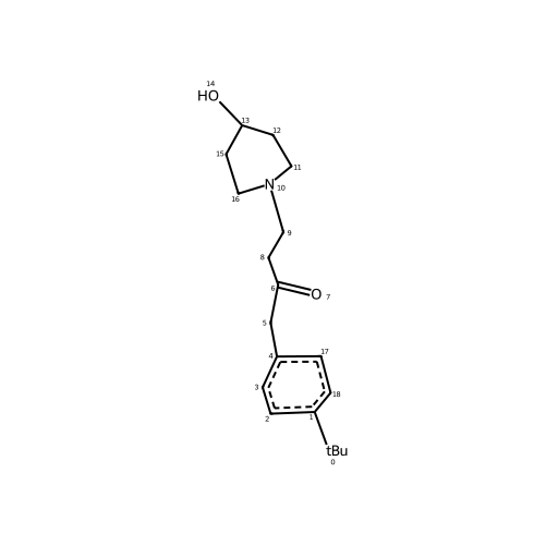 CC(C)(C)c1ccc(CC(=O)CCN2CCC(O)CC2)cc1